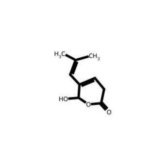 CC(C)=CC1=CCC(=O)OC1O